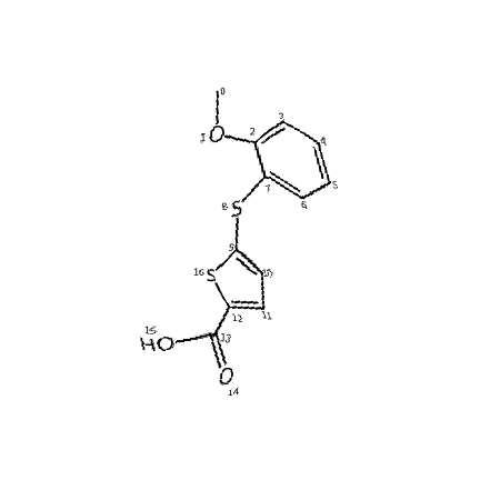 COc1ccccc1Sc1ccc(C(=O)O)s1